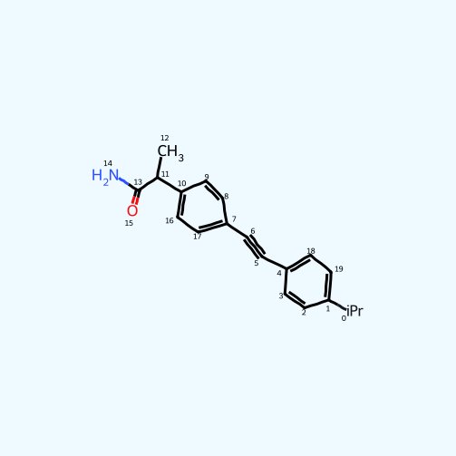 CC(C)c1ccc(C#Cc2ccc(C(C)C(N)=O)cc2)cc1